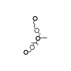 COc1cc(C(=O)NC2CCN(Cc3ccccc3)CC2)ccc1OC1CCN(CCCc2ccccc2)CC1